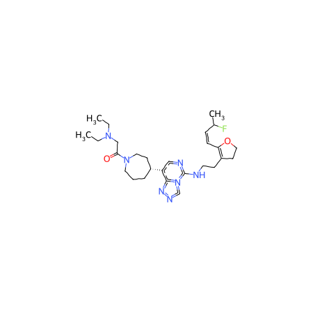 CCN(CC)CC(=O)N1CCC[C@@H](c2cnc(NCCC3=C(/C=C\C(C)F)OCC3)n3cnnc23)CC1